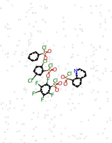 O=S(=O)(Cl)c1c(F)c(F)c(F)c(F)c1F.O=S(=O)(Cl)c1cc(Cl)ccc1Cl.O=S(=O)(Cl)c1cccc2cccnc12.O=S(=O)(Cl)c1ccccc1